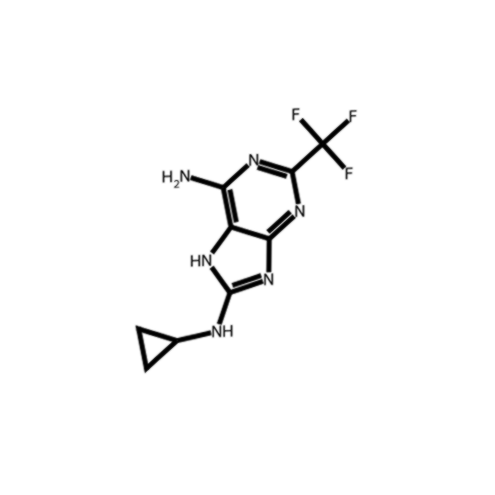 Nc1nc(C(F)(F)F)nc2nc(NC3CC3)[nH]c12